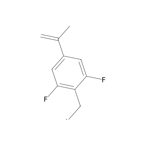 [CH2]Cc1c(F)cc(C(=C)C)cc1F